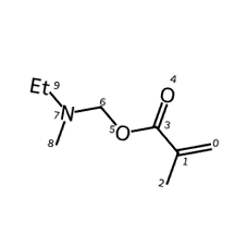 C=C(C)C(=O)OCN(C)CC